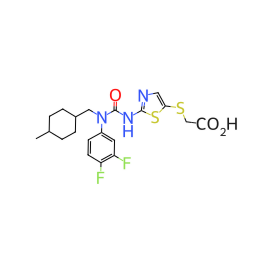 CC1CCC(CN(C(=O)Nc2ncc(SCC(=O)O)s2)c2ccc(F)c(F)c2)CC1